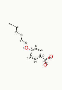 CCCCCCOc1ccc(C([O])=O)cc1